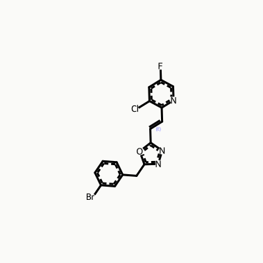 Fc1cnc(/C=C/c2nnc(Cc3cccc(Br)c3)o2)c(Cl)c1